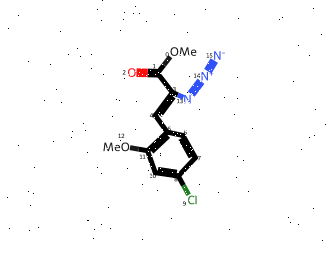 COC(=O)/C(=C/c1ccc(Cl)cc1OC)N=[N+]=[N-]